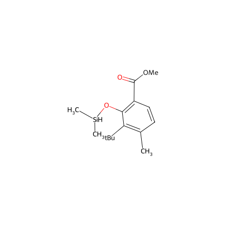 COC(=O)c1ccc(C)c(C(C)(C)C)c1O[SiH](C)C